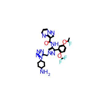 CC(F)Oc1ccc(OC(F)F)c(-c2nn(Cc3nnnn3C3CCC(N)CC3)cc2NC(=O)c2cnn3cccnc23)c1